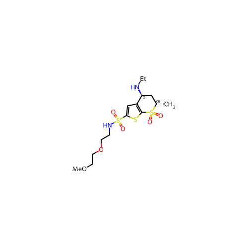 CCN[C@H]1C[C@H](C)S(=O)(=O)c2sc(S(=O)(=O)NCCOCCOC)cc21